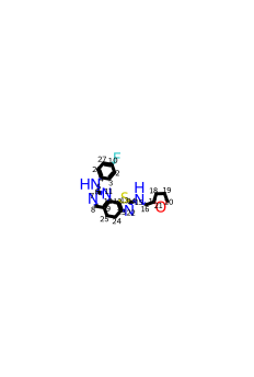 Fc1ccc(Nc2ncc3c(n2)-c2sc(NCC4CCCO4)nc2CC3)cc1